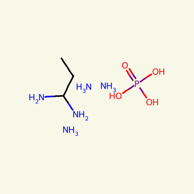 CCC(N)N.N.N.N.O=P(O)(O)O